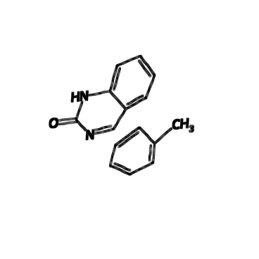 Cc1ccccc1.O=c1ncc2ccccc2[nH]1